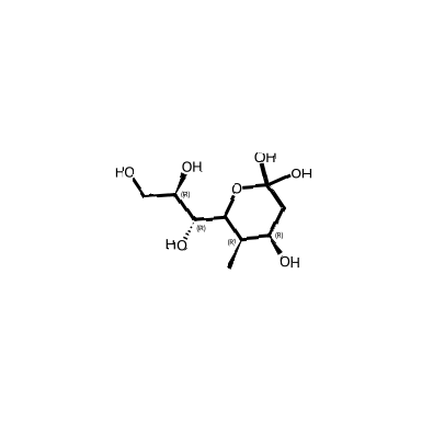 C[C@H]1C([C@H](O)[C@H](O)CO)OC(O)(O)C[C@H]1O